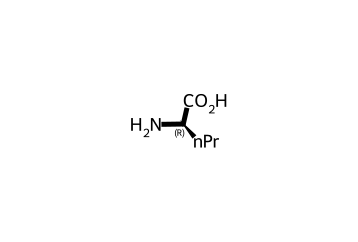 [CH2]CC[C@@H](N)C(=O)O